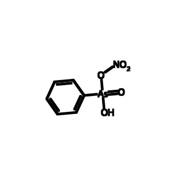 O=[N+]([O-])O[As](=O)(O)c1ccccc1